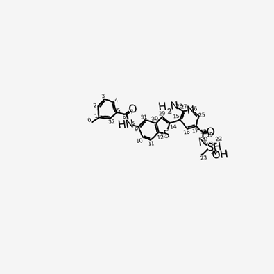 Cc1cccc(C(=O)Nc2ccc3sc(-c4cc(C(=O)N=[SH](C)(C)O)cnc4N)cc3c2)c1